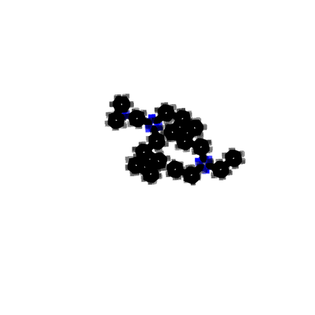 c1ccc(-c2cccc(-c3nc(-c4cccc(-c5ccccc5)c4)nc(-c4cccc(-c5cccc6c5-c5ccccc5C65c6ccccc6-c6c(-c7cccc(-c8nc(-c9ccc(-n%10c%11ccccc%11c%11ccccc%11%10)cc9)nc(-c9cccc(-c%10cccc%11c%10-c%10ccccc%10C%11%10c%11ccccc%11-c%11ccccc%11%10)c9)n8)c7)cccc65)c4)n3)c2)cc1